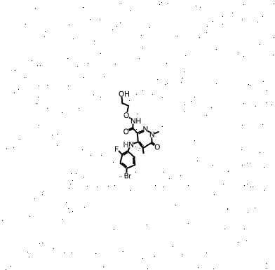 Cc1c(Nc2ccc(Br)cc2F)c(C(=O)NOCCO)nn(C)c1=O